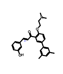 Cc1cc(C)cc(-c2ccc(OCCN(C)C)c(C(=O)/C=C/c3cccc(O)c3)c2)c1